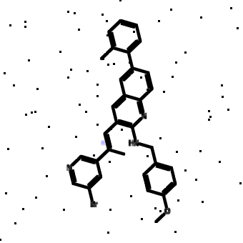 COc1ccc(CNc2nc3ccc(-c4ccccc4C)cc3cc2/C=C(\C)c2cncc(Br)c2)cc1